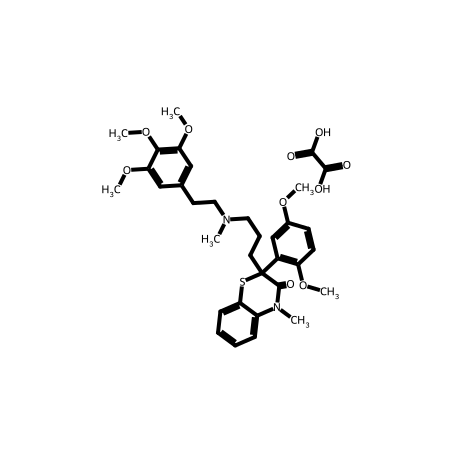 COc1ccc(OC)c(C2(CCCN(C)CCc3cc(OC)c(OC)c(OC)c3)Sc3ccccc3N(C)C2=O)c1.O=C(O)C(=O)O